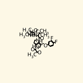 CN[C@@H](C)C(=O)N[C@H](C(=O)N1CC[C@@H]2[C@H]1[C@@H](COc1ccc(F)c(F)c1)CN2C(=O)C(C)=O)C(C)(C)C